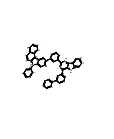 c1ccc(-c2cccc(-c3nc(-c4cccc(-c5ccc6c(c5)c5c7ccccc7ccc5n6-c5ccccc5)c4)nc4c3oc3ccccc34)c2)cc1